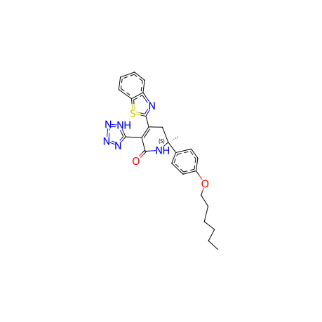 CCCCCCOc1ccc([C@]2(C)CC(c3nc4ccccc4s3)=C(c3nnn[nH]3)C(=O)N2)cc1